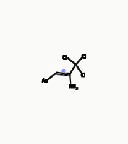 CC(=O)/C=C(\N)C(Cl)(Cl)Cl